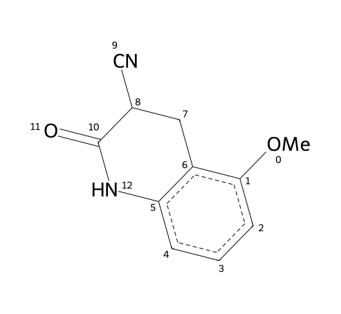 COc1cccc2c1CC(C#N)C(=O)N2